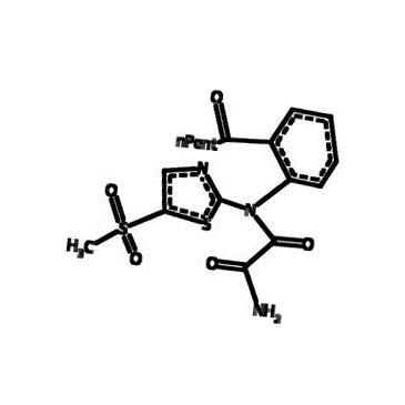 CCCCCC(=O)c1ccccc1N(C(=O)C(N)=O)c1ncc(S(C)(=O)=O)s1